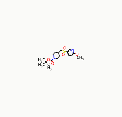 COc1ccc(S(=O)(=O)CC2CCN(C(=O)OC(C)(C)C)CC2)cn1